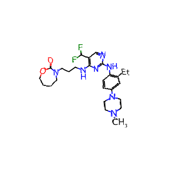 CCc1cc(N2CCN(C)CC2)ccc1Nc1ncc(C(F)F)c(NCCCN2CCCCOC2=O)n1